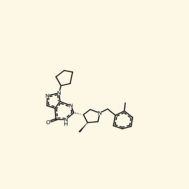 Cc1ccccc1CN1C[C@@H](C)[C@H](c2nc3c(cnn3C3CCCC3)c(=O)[nH]2)C1